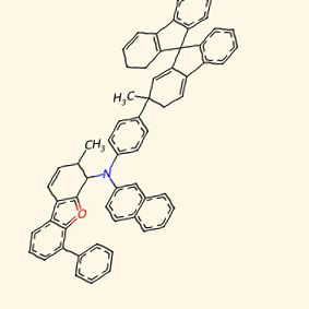 CC1C=Cc2c(oc3c(-c4ccccc4)cccc23)C1N(c1ccc(C2(C)C=C3C(=CC2)c2ccccc2C32C3=C(C=CCC3)c3ccccc32)cc1)c1ccc2ccccc2c1